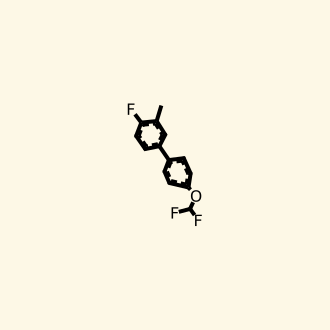 Cc1cc(-c2ccc(OC(F)F)cc2)ccc1F